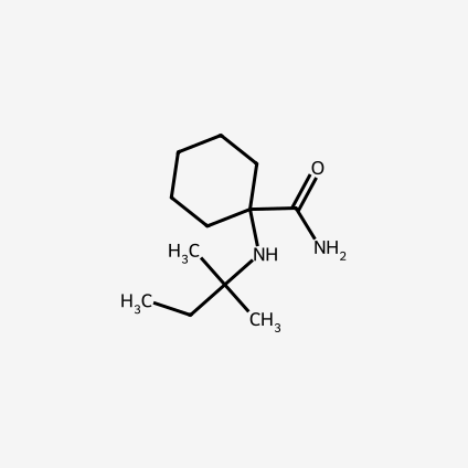 CCC(C)(C)NC1(C(N)=O)CCCCC1